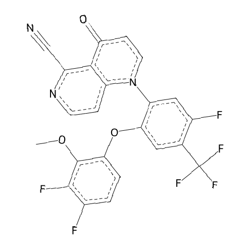 COc1c(Oc2cc(C(F)(F)F)c(F)cc2-n2ccc(=O)c3c(C#N)nccc32)ccc(F)c1F